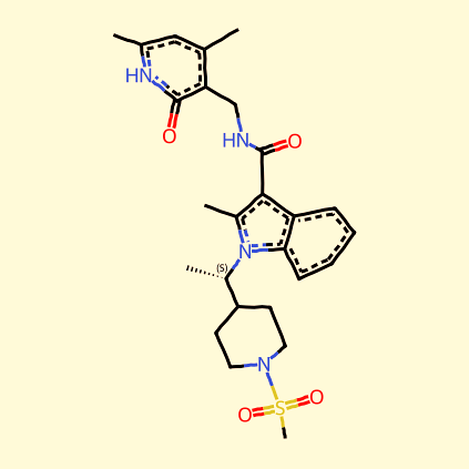 Cc1cc(C)c(CNC(=O)c2c(C)n([C@@H](C)C3CCN(S(C)(=O)=O)CC3)c3ccccc23)c(=O)[nH]1